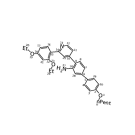 CCCCCOc1ccc(-c2ccc(-c3ccnc(-c4ccc(OCC)cc4OCC)c3)c(N)c2)cc1